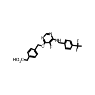 CC(F)(F)c1ccc(CNc2ncnc(OCc3ccc(CC(=O)O)cc3)c2F)cc1